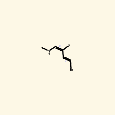 CN/C=C(F)\C=C\Br